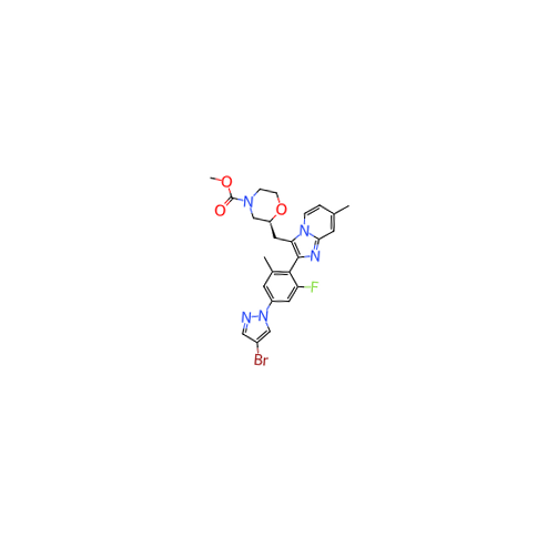 COC(=O)N1CCO[C@@H](Cc2c(-c3c(C)cc(-n4cc(Br)cn4)cc3F)nc3cc(C)ccn23)C1